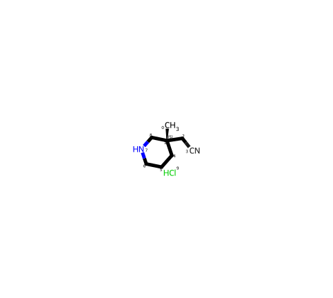 C[C@@]1(CC#N)CCCNC1.Cl